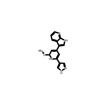 CC(C)(C)OC1C=C(c2c[nH]c3ncccc23)C=C(c2cn[nH]c2)N1